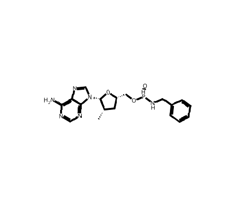 C[C@H]1C[C@@H](CO[PH](=O)NCc2ccccc2)O[C@H]1n1cnc2c(N)ncnc21